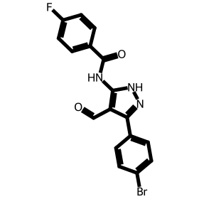 O=Cc1c(-c2ccc(Br)cc2)n[nH]c1NC(=O)c1ccc(F)cc1